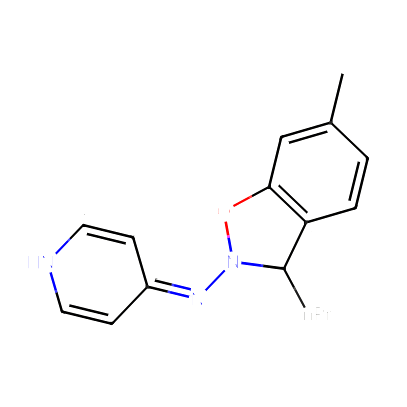 CCCC1c2ccc(C)cc2ON1N=c1cc[nH]cc1